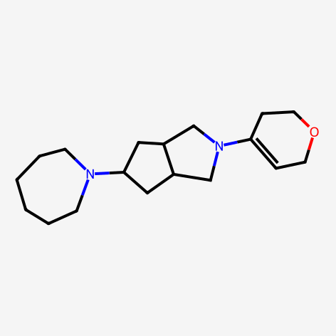 C1=C(N2CC3CC(N4CCCCCC4)CC3C2)CCOC1